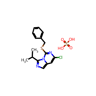 CC(C)c1ncc2cc(Cl)nc(SCc3ccccc3)n12.O=S(=O)(O)O